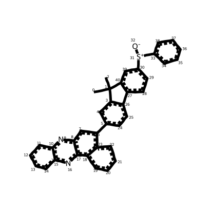 CC1(C)c2cc(-c3cc4nc5ccccc5nc4c4ccccc34)ccc2-c2ccc([S+]([O-])c3ccccc3)cc21